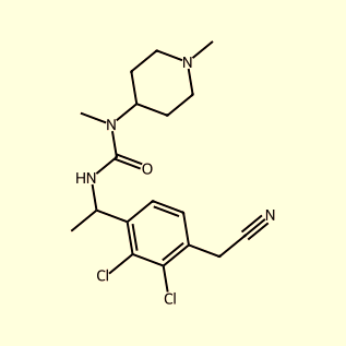 CC(NC(=O)N(C)C1CCN(C)CC1)c1ccc(CC#N)c(Cl)c1Cl